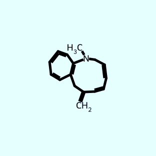 C=C1/C=C\C=C/CN(C)C2=C(C=CC=C=C2)C1